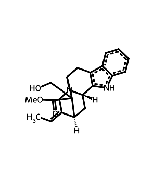 C/C=C1\CN2C3Cc4c([nH]c5ccccc45)[C@@H]2C[C@@H]1C3(CO)C(=O)OC